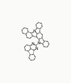 c1ccc2c(c1)-c1cccc3nc(-n4c5ccccc5c5cc6c7ccccc7n7c8c9ccccc9ccc8c(c54)c67)nc-2c13